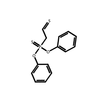 S=CCP(=S)(Oc1ccccc1)Oc1ccccc1